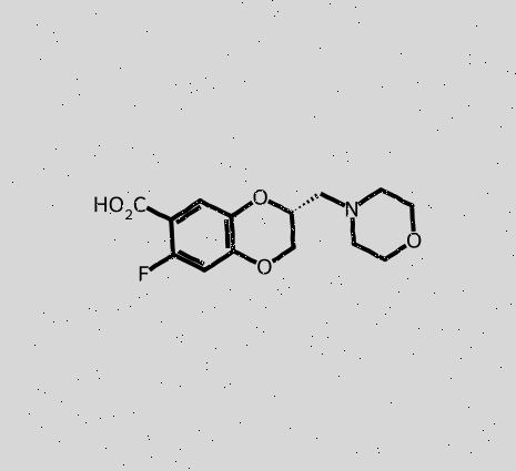 O=C(O)c1cc2c(cc1F)OC[C@@H](CN1CCOCC1)O2